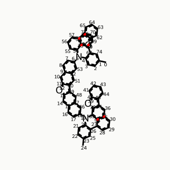 Cc1ccc(N(c2ccc3cc4oc5cc6ccc(N(c7ccc(C)cc7-c7ccccc7)c7cccc8c7oc7ccccc78)cc6cc5c4cc3c2)c2cccc3c2oc2ccccc23)c(-c2ccccc2)c1